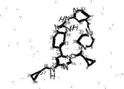 O=C(C1CC1)N1CCN(Cc2ccnc(Nc3nc4ccc(-c5cc(NCC6CC6)ncn5)cc4[nH]3)c2)CC1